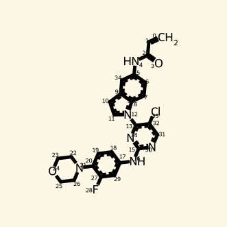 C=CC(=O)Nc1ccc2c(ccn2-c2nc(Nc3ccc(N4CCOCC4)c(F)c3)ncc2Cl)c1